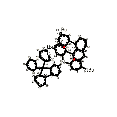 CC(C)(C)c1ccc(N(c2ccc3c(c2)C(c2ccccc2)(c2ccccc2)c2ccccc2-3)c2ccccc2-c2cccc3cccc(-c4cc(C(C)(C)C)cc(C(C)(C)C)c4)c23)cc1